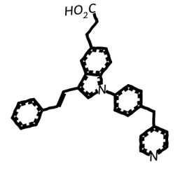 O=C(O)CCc1ccc2c(c1)c(C=Cc1ccccc1)cn2-c1ccc(Cc2ccncc2)cc1